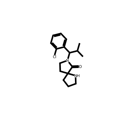 CC(C)C(c1ccccc1Cl)N1CCC2(CCCN2)C1=O